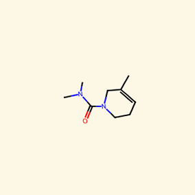 CC1=CCCN(C(=O)N(C)C)C1